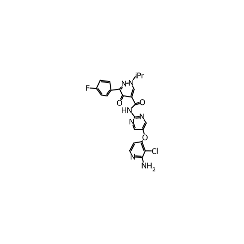 CC(C)n1cc(C(=O)Nc2ncc(Oc3ccnc(N)c3Cl)cn2)c(=O)c(-c2ccc(F)cc2)n1